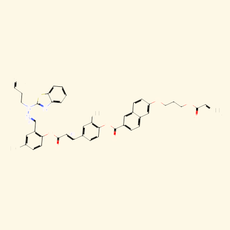 C=CCCN(/N=C/c1cc(C)ccc1OC(=O)/C=C/c1ccc(OC(=O)c2ccc3cc(OCCCOC(=O)C=C)ccc3c2)c(C)c1)c1nc2ccccc2s1